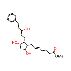 COC(=O)CCCC=CC[C@@H]1[C@@H](CCC(O)CCc2ccccc2)[C@H](O)C[C@@H]1O